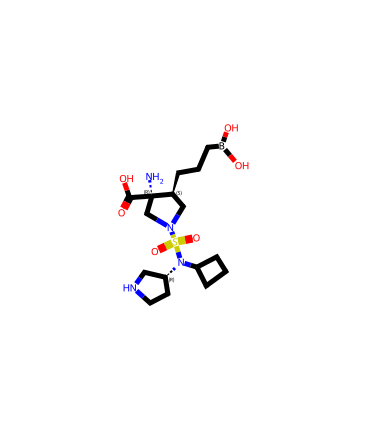 N[C@@]1(C(=O)O)CN(S(=O)(=O)N(C2CCC2)[C@@H]2CCNC2)C[C@@H]1CCCB(O)O